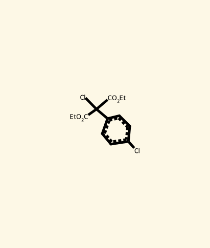 CCOC(=O)C(Cl)(C(=O)OCC)c1ccc(Cl)cc1